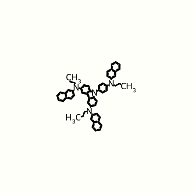 CCCN(c1ccc(-n2c3ccc(N(CCC)c4ccc5ccccc5c4)cc3c3cc(N(CCC)c4ccc5ccccc5c4)ccc32)cc1)c1ccc2ccccc2c1